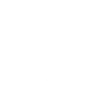 C=Cc1ccc(Cc2cc(Br)c(C)c3c2CCO3)cc1